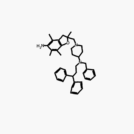 Cc1c(C)c2c(c(C)c1N)CC(C)(CN1CCC(N(CCC(c3ccccc3)c3ccccc3)Cc3ccccc3)CC1)O2